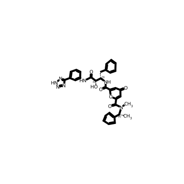 C[C@H](c1ccccc1)N(C)C(=O)c1cc(=O)cc(C(=O)N[C@@H](Cc2ccccc2)[C@H](O)C(=O)Nc2cccc(-c3nn[nH]n3)c2)o1